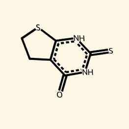 O=c1[nH]c(=S)[nH]c2c1CCS2